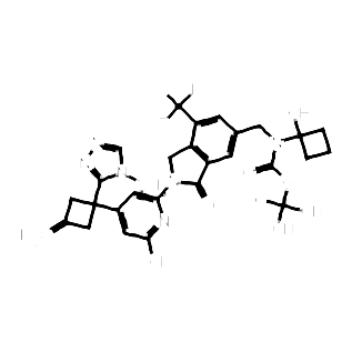 C=C1CC(c2cc(Cl)nc(N3Cc4c(cc(CN(C(=O)OC(C)(C)C)C5(C)CCC5)cc4C(F)(F)F)C3=O)c2)(c2nncn2C)C1